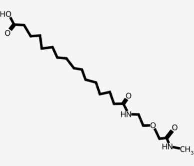 CNC(=O)COCCNC(=O)CCCCCCCCCCCCCCC(=O)O